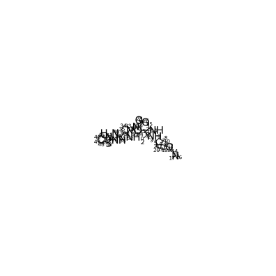 C/C(NC[C@@]12CC34[C@@](C)(C1)C[C@@]3(OCCN(C)C)C[C@@]4(C)C2)=C1/C(=N)COC(=O)c2nc(N3CCCC(/C(C)=C(\N)Nc4nc5ccccc5s4)=C3N)ccc21